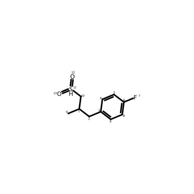 CC(Cc1ccc(F)cc1)C[SH](=O)=O